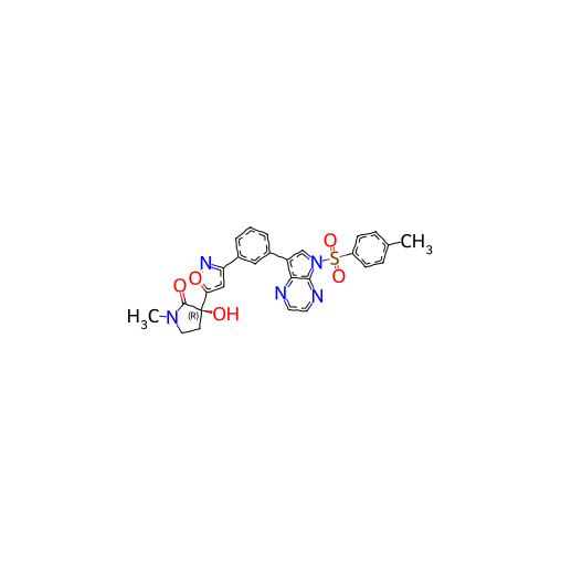 Cc1ccc(S(=O)(=O)n2cc(-c3cccc(-c4cc([C@]5(O)CCN(C)C5=O)on4)c3)c3nccnc32)cc1